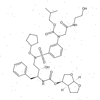 CC(C)COC(=O)N(CC(=O)NCCO)c1cccc(S(=O)(=O)N(C[C@H](O)[C@H](Cc2ccccc2)NC(=O)O[C@H]2CO[C@H]3OCC[C@H]32)OC2CCCC2)c1